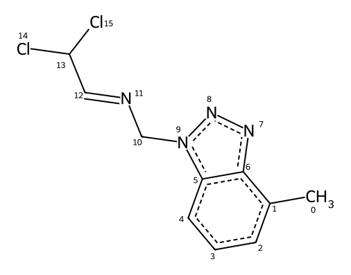 Cc1cccc2c1nnn2CN=CC(Cl)Cl